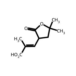 CC(=CC1CC(C)(C)OC1=O)C(=O)O